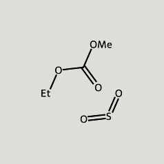 CCOC(=O)OC.O=S=O